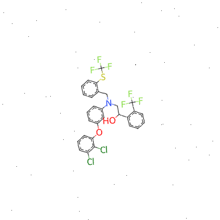 OC(CN(Cc1ccccc1SC(F)(F)F)c1cccc(Oc2cccc(Cl)c2Cl)c1)c1ccccc1C(F)(F)F